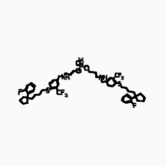 O=[PH](OCCCNCc1ccc(SCCCCC2(c3ccccc3F)CCCC2)c(C(F)(F)F)c1)OCCCNCc1ccc(SCCCCC2(c3ccccc3F)CCCC2)c(C(F)(F)F)c1